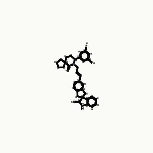 O=C1N(C/C=C/c2ccc3c(c2)CC2(C3)C(=O)Nc3ncccc32)C(c2cc(F)cc(F)c2)CCC12CCCC2